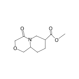 COC(=O)C1CCC2COCC(=O)N2C1